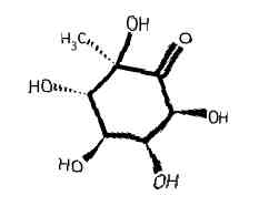 C[C@]1(O)C(=O)[C@@H](O)[C@@H](O)[C@@H](O)[C@@H]1O